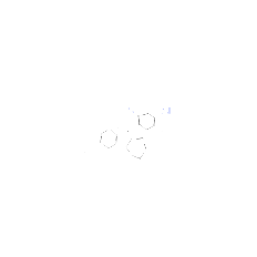 Cc1ccc(C(C)(c2ccccc2)c2cc(C)c(N)cc2N)cc1